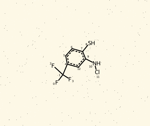 FC(F)(F)c1ccc(S)c(NCl)c1